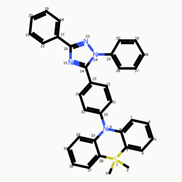 CS1(C)c2ccccc2N(c2ccc(-c3nc(-c4ccccc4)nn3-c3ccccc3)cc2)c2ccccc21